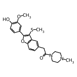 COc1cc(-c2oc3ccc(CC(=O)N4CCN(C)CC4)cc3c2SC)ccc1O